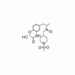 CCN(CC1CCN(S(C)(=O)=O)CC1)C(C)Cc1ccc2c(c1)NC(=O)CO2.Cl